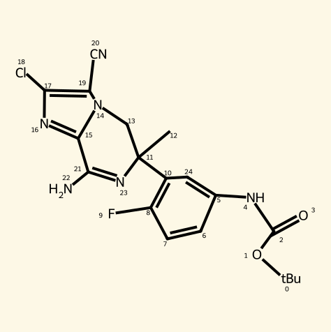 CC(C)(C)OC(=O)Nc1ccc(F)c(C2(C)Cn3c(nc(Cl)c3C#N)C(N)=N2)c1